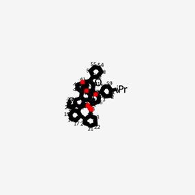 CC(C)c1ccc(N(c2ccc3c(c2)C2(c4ccccc4-c4ccccc4-3)c3ccccc3-c3c2c2ccccc2c2ccccc32)c2cccc3c2oc2ccccc23)cc1